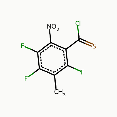 Cc1c(F)c(F)c([N+](=O)[O-])c(C(=S)Cl)c1F